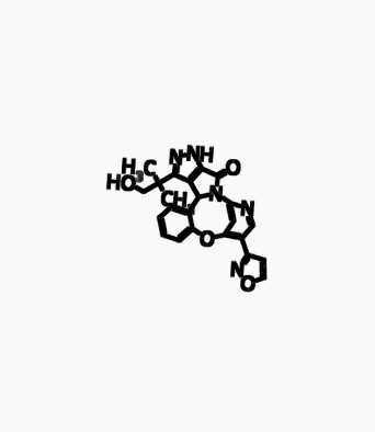 CC(C)(CO)c1n[nH]c2c1C1c3ccccc3Oc3cc(ncc3-c3ccon3)N1C2=O